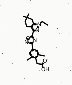 CCn1nc(-c2nc(-c3cc(C)c(CC(=O)O)c(C)c3)no2)c2c1CC(C)(C)CC2